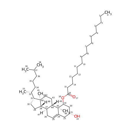 CCCCCCCCCCCCCCCCC(=O)OC1C[C@H](O)CC2=CC[C@H]3[C@@H]4CC[C@H]([C@H](C)CCCC(C)C)[C@@]4(C)CC[C@@H]3[C@]21C